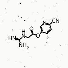 N#Cc1ccc(OC(=O)CNC(=N)N)cn1